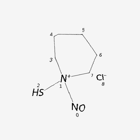 O=N[N+]1(S)CCCCC1.[Cl-]